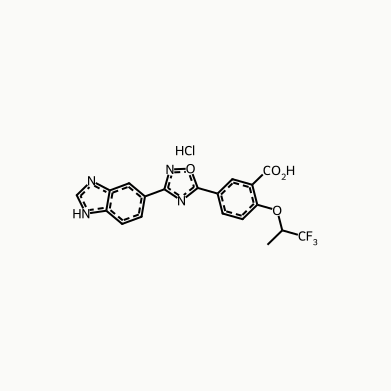 CC(Oc1ccc(-c2nc(-c3ccc4[nH]cnc4c3)no2)cc1C(=O)O)C(F)(F)F.Cl